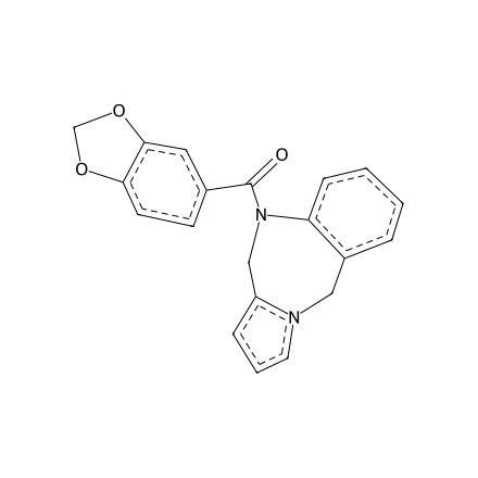 O=C(c1ccc2c(c1)OCO2)N1Cc2cccn2Cc2ccccc21